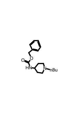 CCCCN1CCC(NC(=O)OCc2ccccc2)CC1